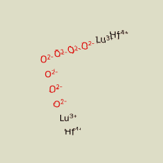 [Hf+4].[Hf+4].[Lu+3].[Lu+3].[O-2].[O-2].[O-2].[O-2].[O-2].[O-2].[O-2]